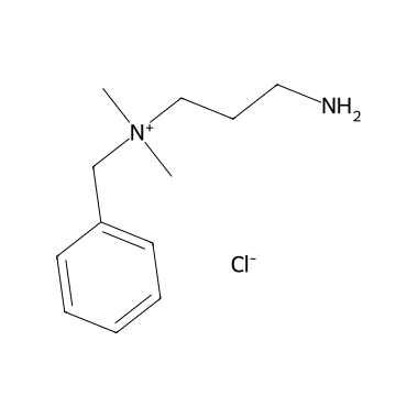 C[N+](C)(CCCN)Cc1ccccc1.[Cl-]